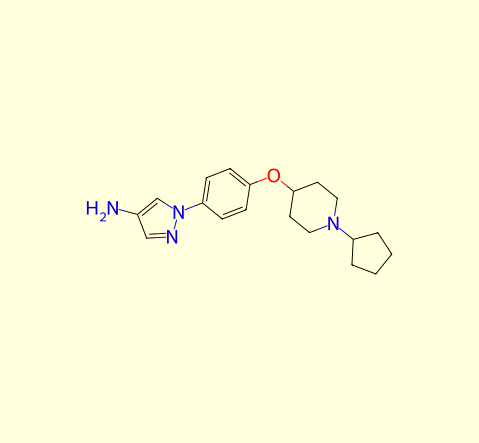 Nc1cnn(-c2ccc(OC3CCN(C4CCCC4)CC3)cc2)c1